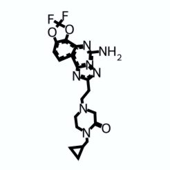 Nc1nc2c3c(ccc2c2nc(CCN4CCN(CC5CC5)C(=O)C4)nn12)OC(F)(F)O3